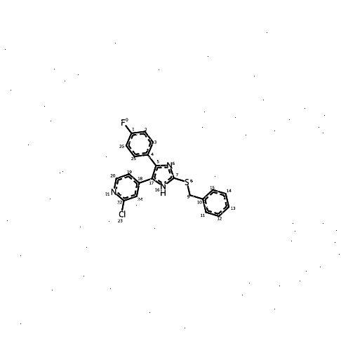 Fc1ccc(-c2nc(SCc3ccccc3)[nH]c2-c2ccnc(Cl)c2)cc1